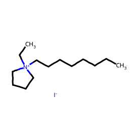 CCCCCCCC[N+]1(CC)CCCC1.[I-]